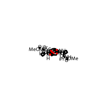 COC(=O)N[C@H](C(=O)N1C2CCC(C2)[C@H]1c1nc2cc(-c3cc4ccc3CCc3ccc(c(-c5ccc6[nH]c([C@@H]7C8CCC(C8)N7C(=O)[C@@H](NC(=O)OC)C(C)C)nc6c5)c3)C[C@H]4C)ccc2[nH]1)C(C)C